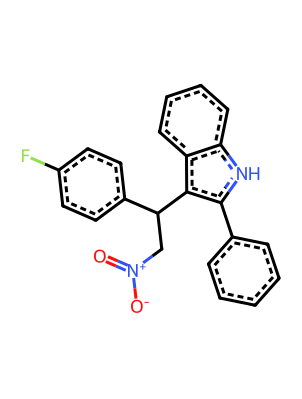 O=[N+]([O-])CC(c1ccc(F)cc1)c1c(-c2ccccc2)[nH]c2ccccc12